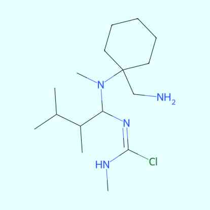 CN/C(Cl)=N\C(C(C)C(C)C)N(C)C1(CN)CCCCC1